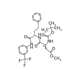 COC(=O)C[C@H](NC(=O)OC(C)(C)C)C(=O)NC(CCc1ccccc1)C(=O)Nc1cccc(C(F)(F)F)c1